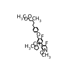 COC(=O)C[C@@H](C)CCc1ccc(OCc2cc([C@@H]3CCCC3(C)C)c(-c3cc(OC)ncc3F)cc2F)cc1